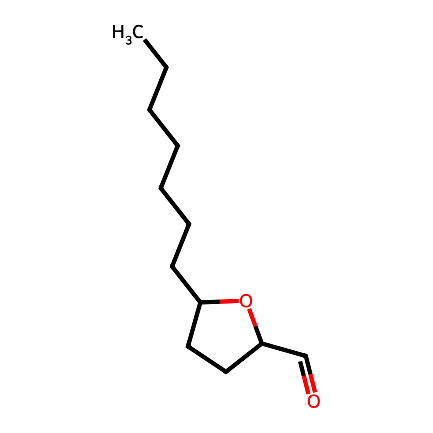 CCCCCCCC1CCC(C=O)O1